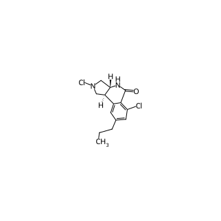 CCCc1cc(Cl)c2c(c1)[C@H]1CN(Cl)C[C@@H]1NC2=O